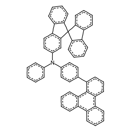 c1ccc(N(c2ccc(-c3cccc4c5ccccc5c5ccccc5c34)cc2)c2ccc3c(c2)C2(c4ccccc4-c4ccccc42)c2ccccc2-3)cc1